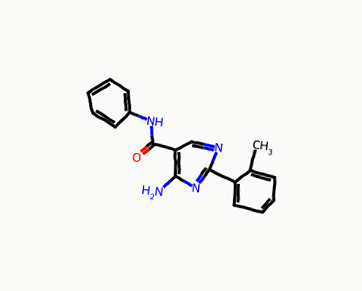 Cc1ccccc1-c1ncc(C(=O)Nc2ccccc2)c(N)n1